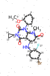 COc1ccccc1-n1c(=O)n(C2CC2)c(=O)c2c(Nc3ccc(Br)cc3F)cc(=O)n(C)c21